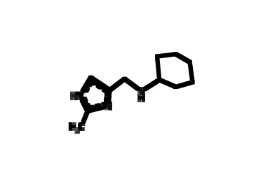 Cc1nc(CNC2CCCCC2)c[nH]1